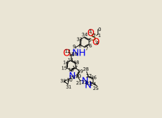 CCS(=O)(=O)c1ccc(CNC(=O)c2ccc3c(c2)cc(Cn2nc(C)cc2C)n3C2CC2)cc1